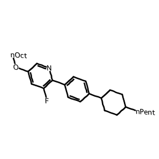 CCCCCCCCOc1cnc(-c2ccc(C3CCC(CCCCC)CC3)cc2)c(F)c1